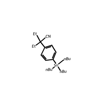 CCC[CH2][Sn]([CH2]CCC)([CH2]CCC)[c]1ccc(C(C#N)(CC)CC)cc1